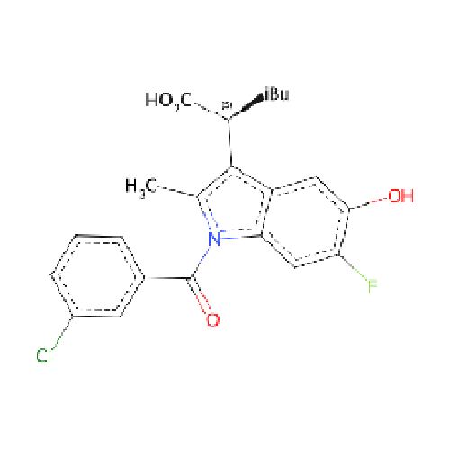 CCC(C)[C@H](C(=O)O)c1c(C)n(C(=O)c2cccc(Cl)c2)c2cc(F)c(O)cc12